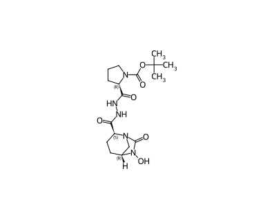 CC(C)(C)OC(=O)N1CCC[C@@H]1C(=O)NNC(=O)[C@@H]1CC[C@@H]2CN1C(=O)N2O